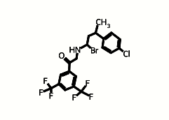 CC(CC(Br)NCC(=O)c1cc(C(F)(F)F)cc(C(F)(F)F)c1)c1ccc(Cl)cc1